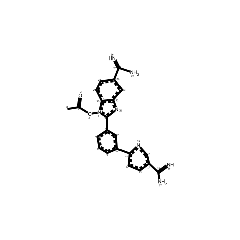 CC(=O)On1c(-c2cccc(-c3ccc(C(=N)N)cn3)c2)nc2cc(C(=N)N)ccc21